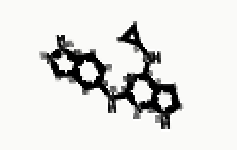 c1cc2c(NC3CC3)nc(Nc3ccc4[nH]ncc4c3)nc2[nH]1